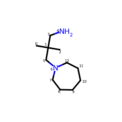 CC(C)(CN)CN1CCCCCC1